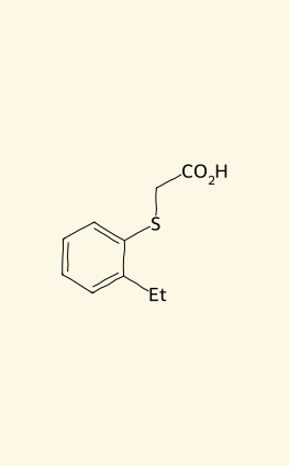 CCc1ccccc1SCC(=O)O